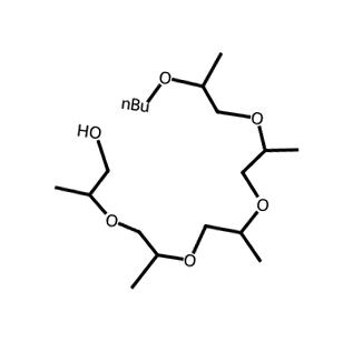 CCCCOC(C)COC(C)COC(C)COC(C)COC(C)CO